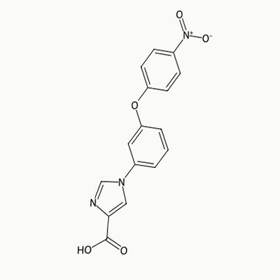 O=C(O)c1cn(-c2cccc(Oc3ccc([N+](=O)[O-])cc3)c2)cn1